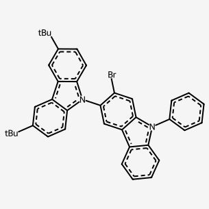 CC(C)(C)c1ccc2c(c1)c1cc(C(C)(C)C)ccc1n2-c1cc2c3ccccc3n(-c3ccccc3)c2cc1Br